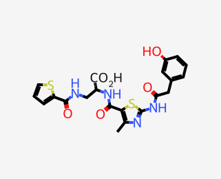 Cc1nc(NC(=O)Cc2cccc(O)c2)sc1C(=O)NC(CNC(=O)c1cccs1)C(=O)O